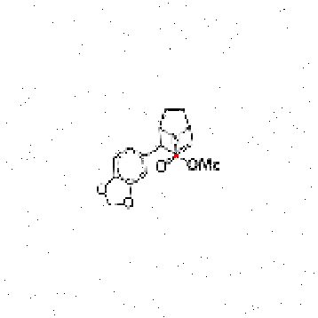 COC(=O)N1C2C=CC(c3ccc4c(c3)OCO4)C1CC2